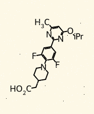 Cc1cc(OC(C)C)nc(-c2cc(F)c(N3CCC(CC(=O)O)CC3)c(F)c2)n1